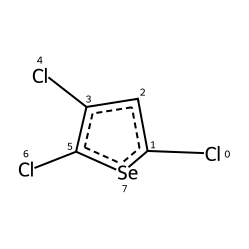 Clc1cc(Cl)c(Cl)[se]1